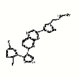 CC(C)NCCn1cc(-c2cnc3ccc(-c4c[nH]nc4-c4cc(Cl)ccc4F)nc3c2)cn1